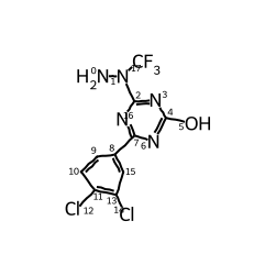 NN(c1nc(O)nc(-c2ccc(Cl)c(Cl)c2)n1)C(F)(F)F